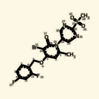 Cc1cc(OCc2ccc(F)cc2F)c(Br)c(=O)n1-c1cnc(S(C)(=O)=O)nc1